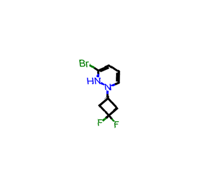 FC1(F)CC(N2C=CC=C(Br)N2)C1